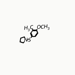 COc1ccc(SN2CCCC2)cc1C